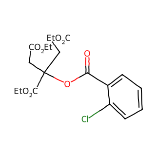 CCOC(=O)CC(CC(=O)OCC)(OC(=O)c1ccccc1Cl)C(=O)OCC